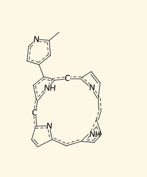 Cc1cc(-c2cc3cc4nc(cc5ccc(cc6nc(cc2[nH]3)C=C6)[nH]5)C=C4)ccn1